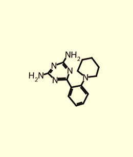 Nc1nc(N)nc(-c2ccccc2N2CCCCC2)n1